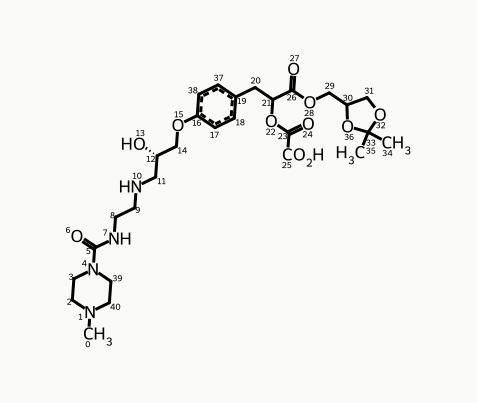 CN1CCN(C(=O)NCCNC[C@H](O)COc2ccc(CC(OC(=O)C(=O)O)C(=O)OCC3COC(C)(C)O3)cc2)CC1